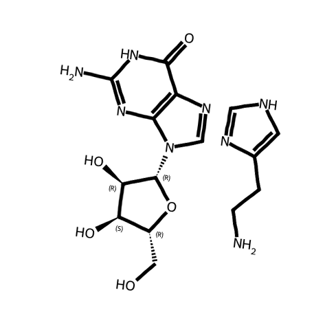 NCCc1c[nH]cn1.Nc1nc2c(ncn2[C@@H]2O[C@H](CO)[C@@H](O)[C@H]2O)c(=O)[nH]1